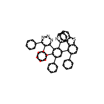 c1ccc(-c2cc(-c3c(-c4ccccc4)ccc4sc5ccccc5c34)c(-c3ccccn3)c(-c3nnnc(-c4ccccc4)c3-c3ccccc3)c2-c2ccccc2)cc1